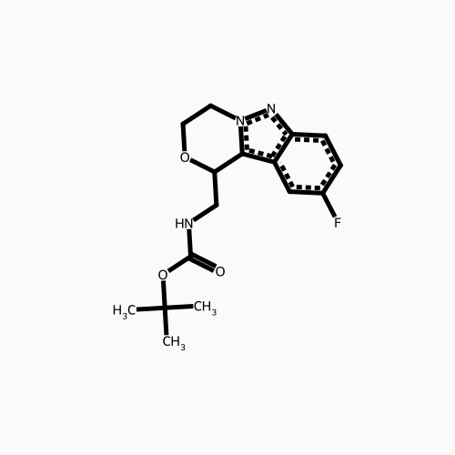 CC(C)(C)OC(=O)NCC1OCCn2nc3ccc(F)cc3c21